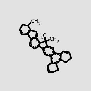 CC1CC=CC2=C1Cc1c2ccc2c1C(C)(C)c1cc3c4c(c5c(c3cc1-2)C=CCC5)CCC=C4